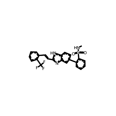 CNS(=O)(=O)c1ccccc1-c1ccc2[nH]c(/C=C/c3ccccc3C(F)(F)F)nc2c1